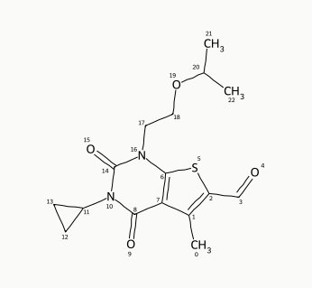 Cc1c(C=O)sc2c1c(=O)n(C1CC1)c(=O)n2CCOC(C)C